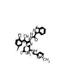 CC(=O)Cn1c(C(=O)NCc2ccn(C)n2)nc(NC(=O)c2nsc3ccccc23)c1[C@H](C)c1cc(F)ccc1Cl